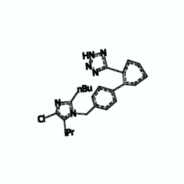 CCCCc1nc(Cl)c(C(C)C)n1Cc1ccc(-c2ccccc2-c2nn[nH]n2)cc1